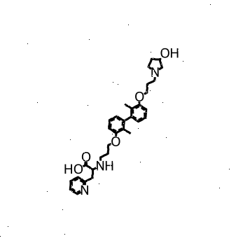 Cc1c(OCCCNC(Cc2ccccn2)C(=O)O)cccc1-c1cccc(OCCCN2CCC(O)C2)c1C